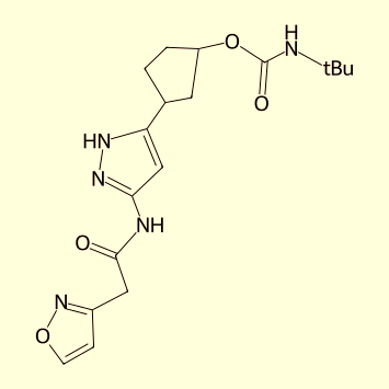 CC(C)(C)NC(=O)OC1CCC(c2cc(NC(=O)Cc3ccon3)n[nH]2)C1